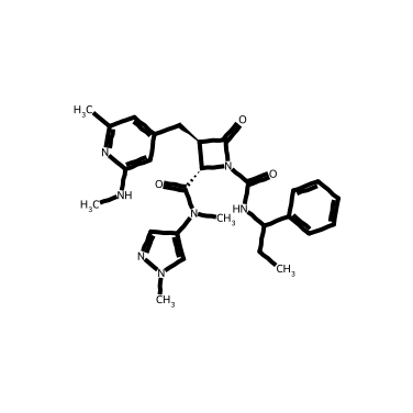 CCC(NC(=O)N1C(=O)[C@H](Cc2cc(C)nc(NC)c2)[C@H]1C(=O)N(C)c1cnn(C)c1)c1ccccc1